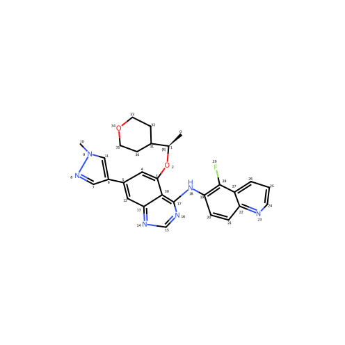 C[C@@H](Oc1cc(-c2cnn(C)c2)cc2ncnc(Nc3ccc4ncccc4c3F)c12)C1CCOCC1